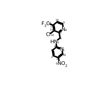 O=[N+]([O-])c1ccc(NCc2nccc(C(F)(F)F)c2Cl)nc1